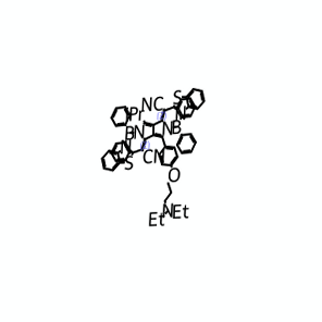 CCN(CC)CCCOc1ccc(-c2c3/c(=C(\C#N)c4nc5ccccc5s4)n(B(c4ccccc4)c4ccccc4)c(C(C)C)c3/c(=C(\C#N)c3nc4ccccc4s3)n2B(c2ccccc2)c2ccccc2)cc1